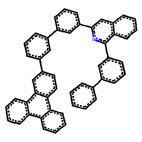 c1ccc(-c2cccc(-c3nc(-c4cccc(-c5cccc(-c6ccc7c8ccccc8c8ccccc8c7c6)c5)c4)cc4ccccc34)c2)cc1